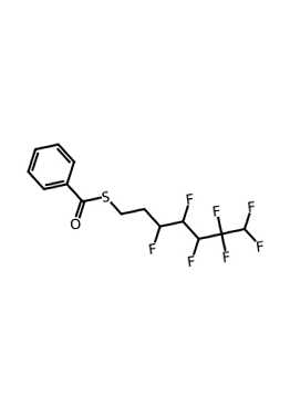 O=C(SCCC(F)C(F)C(F)C(F)(F)C(F)F)c1ccccc1